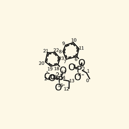 CCP(=O)([O-])Oc1ccccc1.CCP(=O)([O-])Oc1ccccc1.[Co+2]